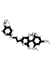 Cc1cc(C)c(-c2c(O)cc(CCSc3ccc(OC(F)(F)F)cn3)oc2=O)c(C)c1